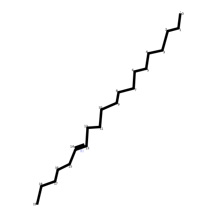 [CH2]CCCCCCCCCCCC/C=C/CCCCC